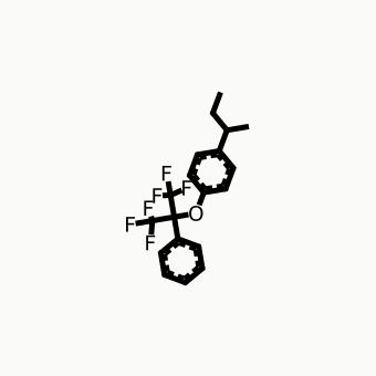 CCC(C)c1ccc(OC(c2ccccc2)(C(F)(F)F)C(F)(F)F)cc1